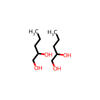 CCCC(O)CO.CCCC(O)CO